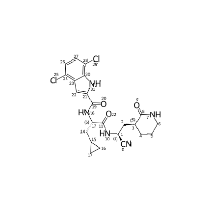 N#C[C@H](C[C@@H]1CCCNC1=O)NC(=O)[C@H](CC1CC1)NC(=O)c1cc2c(Cl)ccc(Cl)c2[nH]1